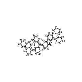 c1ccc(-c2ccccc2-c2ccc3c(c2)oc2ccc(-c4c5ccccc5c(-c5cc6ccccc6c6ccccc56)c5ccccc45)cc23)cc1